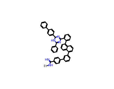 CCNC(=N)c1ccc(-c2cccc(-c3cccc4c(-c5ccccc5C5=NC(c6ccc(-c7ccccc7)cc6)NC(c6ccccc6)=N5)cccc34)c2)cc1